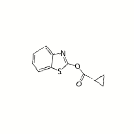 O=C(Oc1nc2ccccc2s1)C1CC1